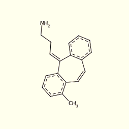 Cc1cccc2c1C=Cc1ccccc1C2=CCCN